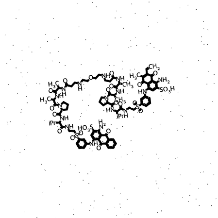 C=CC1=C(C)C(=O)c2c(Nc3cccc(S(=O)(=O)CCNC(=O)C(NC(=O)C4CCCN4C(=O)C(C)NC(=O)C(C)NC(=O)CCNCCOCCNCCC(=O)NC(C)C(=O)NC(C)C(=O)N4CCCC4C(=O)NC(C(=O)NCCS(=O)(=O)c4cccc(Nc5cc(S(=O)(=O)O)c(N)c6c5C(=O)c5ccccc5C6=O)c4)C(C)C)C(C)C)c3)cc(S(=O)(=O)O)c(N)c2C1=O